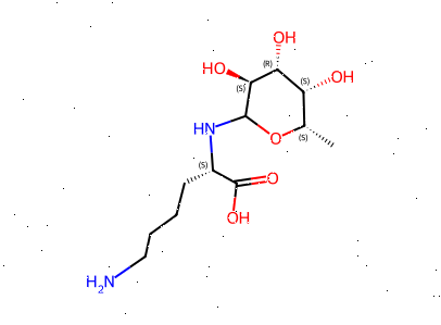 C[C@@H]1OC(N[C@@H](CCCCN)C(=O)O)[C@@H](O)[C@H](O)[C@@H]1O